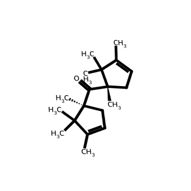 CC1=CC[C@](C)(C(=O)[C@@]2(C)CC=C(C)C2(C)C)C1(C)C